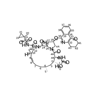 CC[C@@H]1C[C@H](C)CC/C=C\[C@@H]2C[C@@]2(C(=O)NS(=O)(=O)C2(C)CC2)NC(=O)[C@@H]2C[C@@H](Oc3nc4c(c5ccccc35)OCCC4)CN2C(=O)[C@H]1NC(=O)O